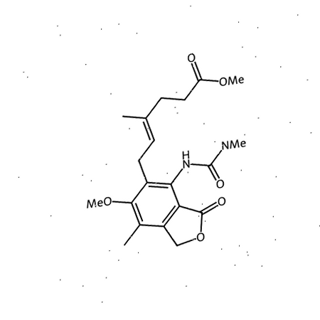 CNC(=O)Nc1c(C/C=C(\C)CCC(=O)OC)c(OC)c(C)c2c1C(=O)OC2